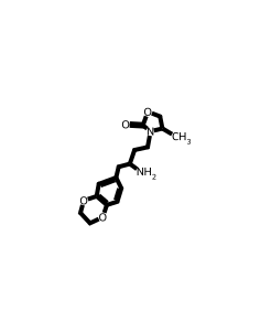 CC1COC(=O)N1CCC(N)Cc1ccc2c(c1)OCCO2